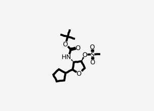 CC(C)(C)OC(=O)N[C@H]1C(C2CCCC2)OC[C@@H]1OS(C)(=O)=O